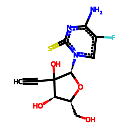 C#CC1(O)[C@@H](O)[C@@H](CO)O[C@H]1n1cc(F)c(N)nc1=S